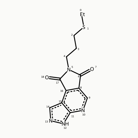 CCSCCCN1C(=O)c2cnc3[nH]ncc3c2C1=O